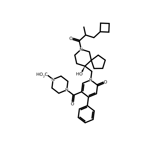 CC(CC1CCC1)C(=O)N1CC[C@@](O)(Cn2cc(C(=O)N3CCN(C(=O)O)CC3)c(-c3ccccc3)cc2=O)C2(CCCC2)C1